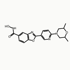 CC1CN(c2ccc(-c3nc4cc(C(=O)NO)ccc4o3)cn2)CC(C)O1